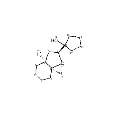 OC1([C@@H]2C[C@@H]3CCCC[C@@H]3O2)CCCC1